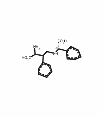 NC(C(=O)O)C(CN[C@H](C(=O)O)c1ccccc1)c1ccccc1